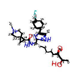 CC(O)C(=O)CCCCC[C@H](NC(=O)[C@H]1CC12CCN(C)CC2)c1nc(-c2ccc(F)cc2)c[nH]1